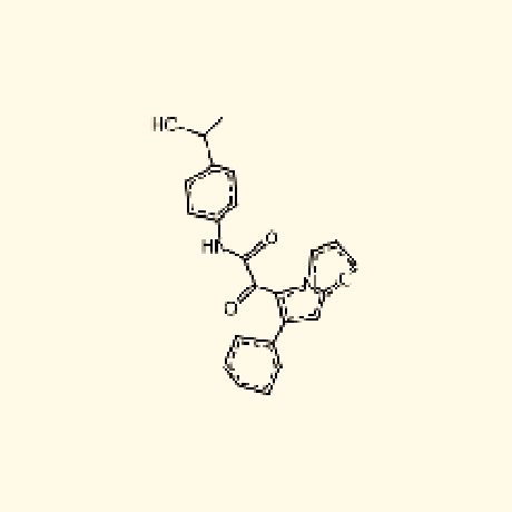 CC(O)c1ccc(NC(=O)C(=O)c2c(-c3ccccc3)cc3ccccn23)cc1